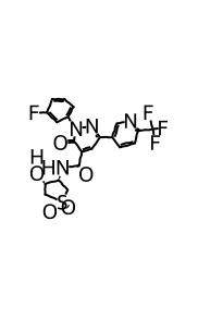 O=C(N[C@@H]1CS(=O)(=O)C[C@@H]1O)c1cc(-c2ccc(C(F)(F)F)nc2)nn(-c2cccc(F)c2)c1=O